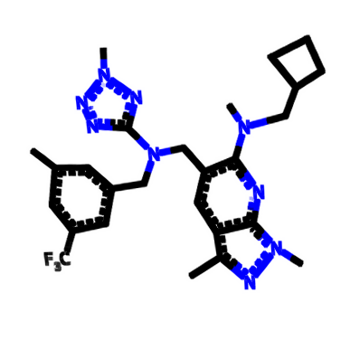 Cc1cc(CN(Cc2cc3c(C)nn(C)c3nc2N(C)CC2CCC2)c2nnn(C)n2)cc(C(F)(F)F)c1